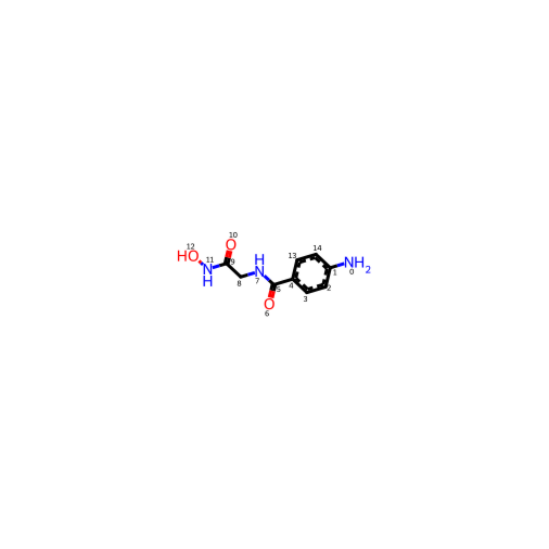 Nc1ccc(C(=O)NCC(=O)NO)cc1